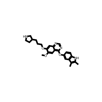 COc1cc2c(Oc3ccc4[nH]c(C)c(C)c4c3)ncnc2cc1OCCCC1CCNC1